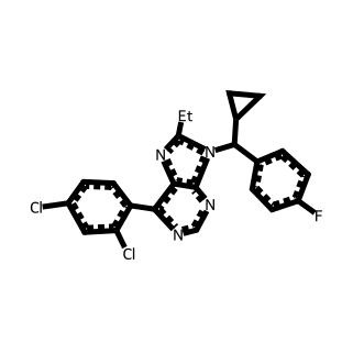 CCc1nc2c(-c3ccc(Cl)cc3Cl)ncnc2n1C(c1ccc(F)cc1)C1CC1